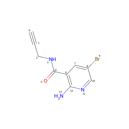 C#CCNC(=O)c1cc(Br)cnc1N